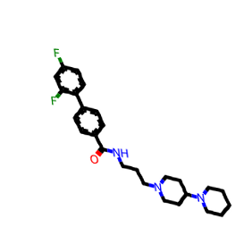 O=C(NCCCN1CCC(N2CCCCC2)CC1)c1ccc(-c2ccc(F)cc2F)cc1